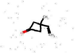 C=CC1(C)CC(=O)C1